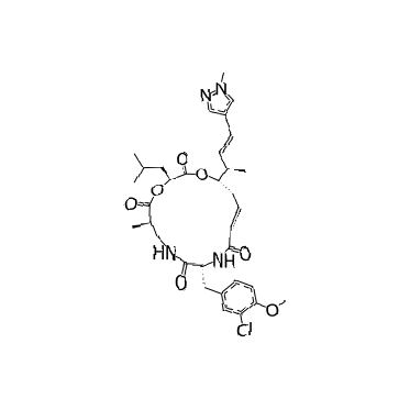 COc1ccc(C[C@H]2NC(=O)/C=C/C[C@@H]([C@H](C)/C=C/c3cnn(C)c3)OC(=O)[C@H](CC(C)C)OC(=O)[C@H](C)CNC2=O)cc1Cl